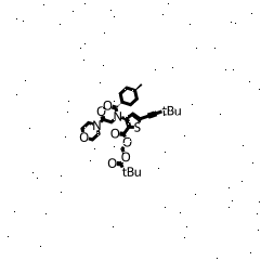 CC(C)(C)C#Cc1cc(N(CC(=O)N2CCOCC2)C(=O)[C@H]2CC[C@H](C)CC2)c(C(=O)OCOC(=O)C(C)(C)C)s1